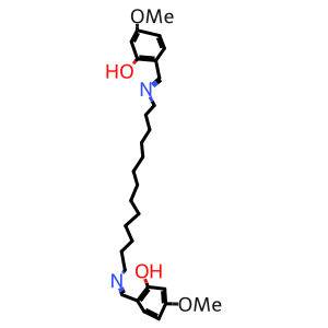 COc1ccc(/C=N\CCCCCCCCCCCCC/N=C/c2ccc(OC)cc2O)c(O)c1